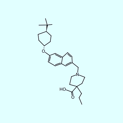 CCCC1(C(=O)O)CCN(Cc2ccc3cc(O[C@H]4CC[C@H](C(C)(C)C)CC4)ccc3c2)CC1